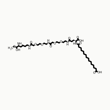 COC(O)[C@@H](N)CCCCNC(=O)COCCOCCNC(=O)COCCOCCNC(=O)CC[C@H](NC(=O)CCCCCCCCCCCCCCC(=O)O)C(=O)O